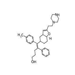 Cc1ccc(/C(=C(\CCCO)c2ccccc2)C2CC[C@@H]3OC(CCN4CCNCC4)=CC3C2)cc1